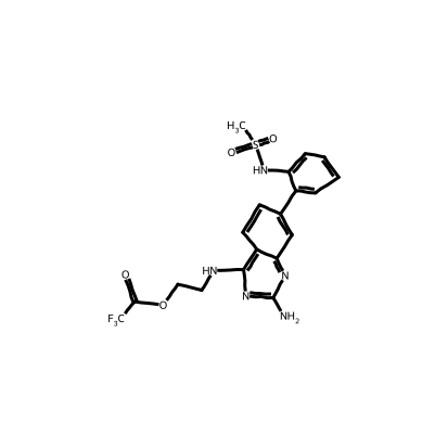 CS(=O)(=O)Nc1ccccc1-c1ccc2c(NCCOC(=O)C(F)(F)F)nc(N)nc2c1